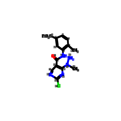 CCOC(=O)c1ccc(C)c(NC(=O)c2cnc(Cl)nc2N(C)N)c1